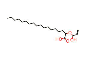 C=CC(O)OC(CCCCCCCCCCCCCCCC)C(=O)O